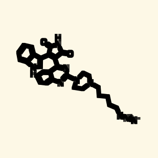 [N-]=[N+]=NCCCCCN1CCN(c2nc(C3=C(c4c[nH]c5ccccc45)C(=O)NC3=O)c3ccccc3n2)CC1